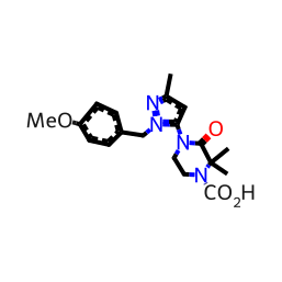 COc1ccc(Cn2nc(C)cc2N2CCN(C(=O)O)C(C)(C)C2=O)cc1